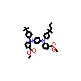 CCCC(C)(C)c1ccc(N(c2ccc(N(c3ccc(C(C)(C)C)cc3)c3cccc(C(=O)OCC)c3)cc2)c2cccc(C(=O)OCC)c2)cc1